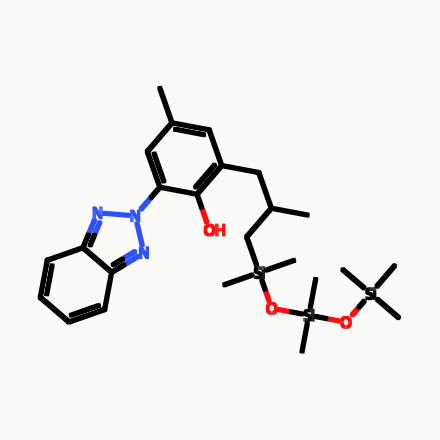 Cc1cc(CC(C)C[Si](C)(C)O[Si](C)(C)O[Si](C)(C)C)c(O)c(-n2nc3ccccc3n2)c1